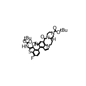 CC(C)(C)OC(=O)Nc1sc2c(F)ccc(-c3c(F)cc4c5c3ccn5CC[C@H]3CN(C(=O)OC(C)(C)C)CCN3C4=O)c2c1C#N